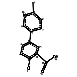 Cc1ccc(-c2ccc(Cl)c(C(=O)O)c2)cn1